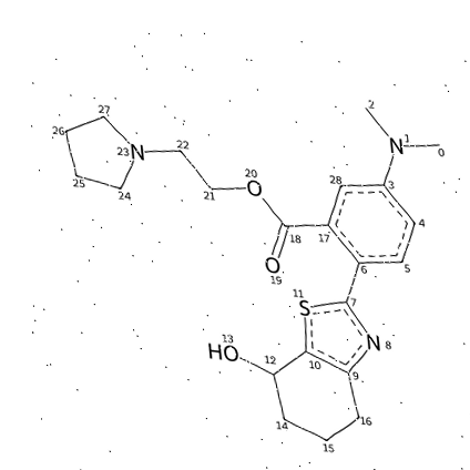 CN(C)c1ccc(-c2nc3c(s2)C(O)CCC3)c(C(=O)OCCN2CCCC2)c1